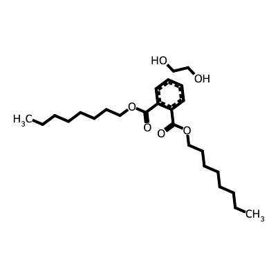 CCCCCCCCOC(=O)c1ccccc1C(=O)OCCCCCCCC.OCCO